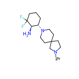 CC(C)N1CCC2(CCN([C@H]3CCCC(F)(F)[C@@H]3N)CC2)C1